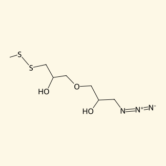 CSSCC(O)COCC(O)CN=[N+]=[N-]